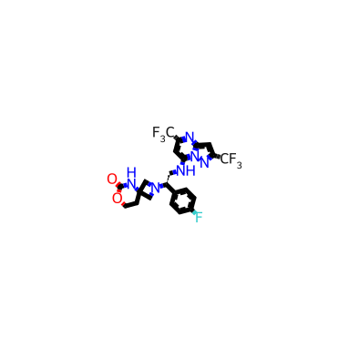 O=C1NC2(CCO1)CN([C@H](CNc1cc(C(F)(F)F)nc3cc(C(F)(F)F)nn13)c1ccc(F)cc1)C2